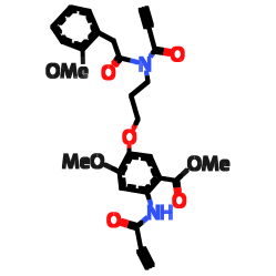 C#CC(=O)Nc1cc(OC)c(OCCCN(C(=O)C#C)C(=O)Cc2ccccc2OC)cc1C(=O)OC